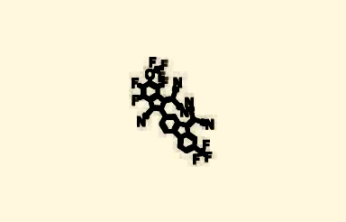 N#CC(C#N)=C1c2cc(C3=C(C#N)c4c(F)c(F)c(OC(F)(F)F)c(F)c4C3=C(C#N)C#N)ccc2-c2ccc(C(F)(F)F)cc21